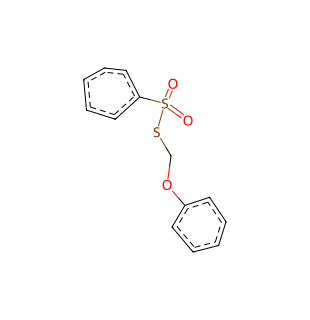 O=S(=O)(SCOc1ccccc1)c1ccccc1